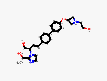 C[C@H](O)c1nccn1C(C=Cc1ccc(-c2ccc(OC3CN(CCO)C3)cc2)cc1)CO